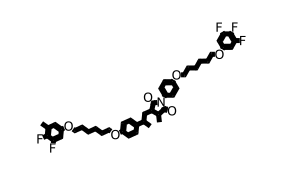 Cc1cc(OCCCCCCOc2ccc(C(C)CC3C(=O)N(c4ccc(OCCCCCCOc5cc(F)c(F)c(F)c5)cc4)C(=O)C3C)cc2)cc(F)c1F